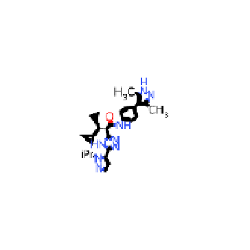 Cc1n[nH]c(C)c1-c1ccc(NC(=O)[C@H](c2nnc(-c3ccnn3C(C)C)[nH]2)C(C2CC2)C2CC2)cc1